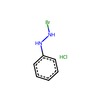 BrNNc1ccccc1.Cl